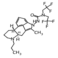 CCCN1CCC[C@@H]2c3cccc4c3c(c(C)n4NC(=O)N(CC(F)(F)F)CC(F)(F)F)C[C@H]21